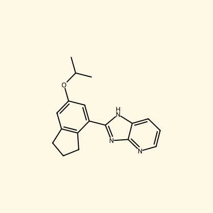 CC(C)Oc1cc2c(c(-c3nc4ncccc4[nH]3)c1)CCC2